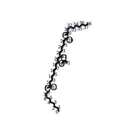 CCCCCC/C=C\COC(=O)CCCCCCCC(CCCCCCCC(=O)OC/C=C\CCCCCC)OC(C)=O